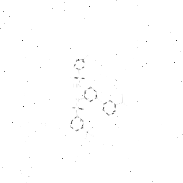 CC(C)c1cccc(-c2ccc(NS(=O)(=O)c3ccc(Cl)s3)c(NS(=O)(=O)c3cccc(C(F)(F)F)c3)c2)c1